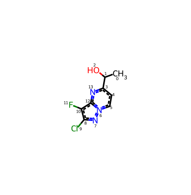 CC(O)c1ccn2nc(Cl)c(F)c2n1